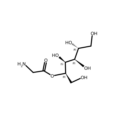 NCC(=O)O[C@H](CO)[C@@H](O)[C@H](O)[C@H](O)CO